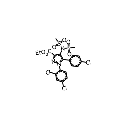 CCOC(=O)c1nn(-c2ccc(Cl)cc2Cl)c(-c2ccc(Cl)cc2)c1N(S(C)(=O)=O)S(C)(=O)=O